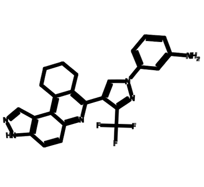 Nc1cccc(-n2cc(-c3nc4ccc5[nH]ncc5c4c4c3CCCC4)c(C(F)(F)F)n2)c1